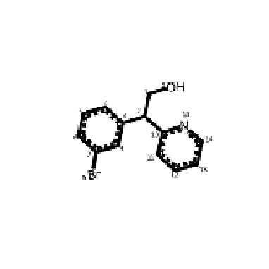 OCC(c1cccc(Br)c1)c1ccccn1